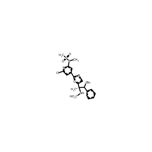 CN(c1cc(-c2ncc([C@](C)(NC(=O)O)C(c3ccccc3)C(C)(C)C)o2)cc(Cl)n1)S(C)(=O)=O